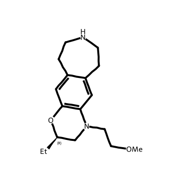 CC[C@@H]1CN(CCOC)c2cc3c(cc2O1)CCNCC3